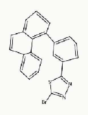 Brc1nnc(-c2cccc(-c3cccc4ccc5ccccc5c34)c2)s1